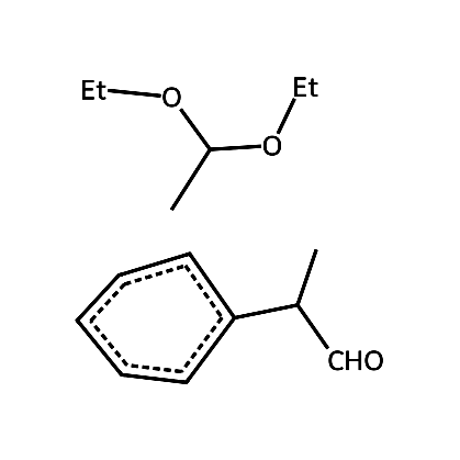 CC(C=O)c1ccccc1.CCOC(C)OCC